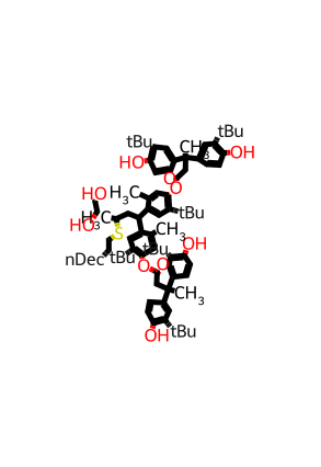 CCCCCCCCCCCCSC(C)CC(c1cc(C(C)(C)C)c(OC(=O)CC(C)(c2ccc(O)c(C(C)(C)C)c2)c2ccc(O)c(C(C)(C)C)c2)cc1C)c1cc(C(C)(C)C)c(OC(=O)CC(C)(c2ccc(O)c(C(C)(C)C)c2)c2ccc(O)c(C(C)(C)C)c2)cc1C.OCCO